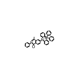 Cc1cn(-c2ccccc2)c(=O)c2ccc(N3c4ccccc4[Si](c4ccccc4)(c4ccccc4)c4ccccc43)cc12